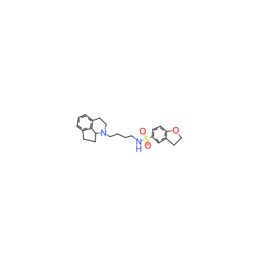 O=S(=O)(NCCCCN1CCc2cccc3c2C1CC3)c1ccc2c(c1)CCO2